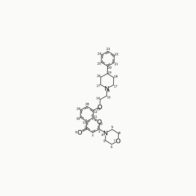 O=c1cc(N2CCOCC2)oc2c(OCCN3CCC(c4ccccc4)CC3)cccc12